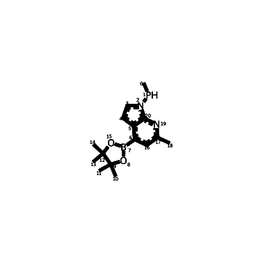 CPn1ccc2c(B3OC(C)(C)C(C)(C)O3)cc(C)nc21